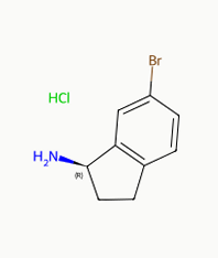 Cl.N[C@@H]1CCc2ccc(Br)cc21